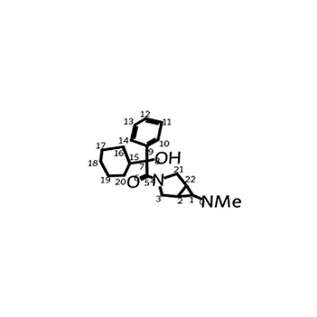 CNC1C2CN(C(=O)C(O)(c3ccccc3)C3CCCCC3)CC21